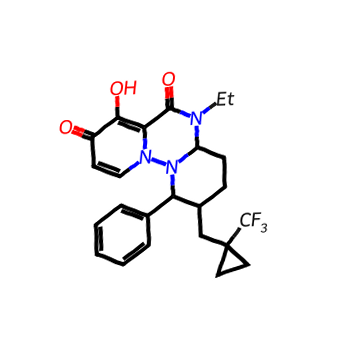 CCN1C(=O)c2c(O)c(=O)ccn2N2C(c3ccccc3)C(CC3(C(F)(F)F)CC3)CCC12